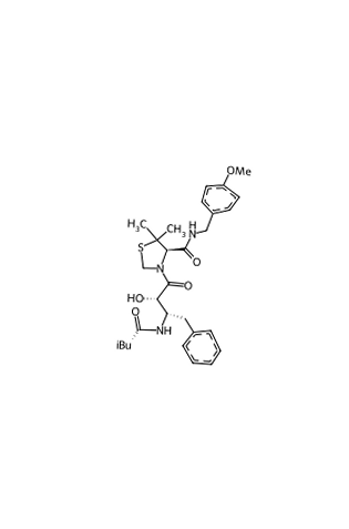 CC[C@@H](C)C(=O)N[C@@H](Cc1ccccc1)[C@H](O)C(=O)N1CSC(C)(C)[C@H]1C(=O)NCc1ccc(OC)cc1